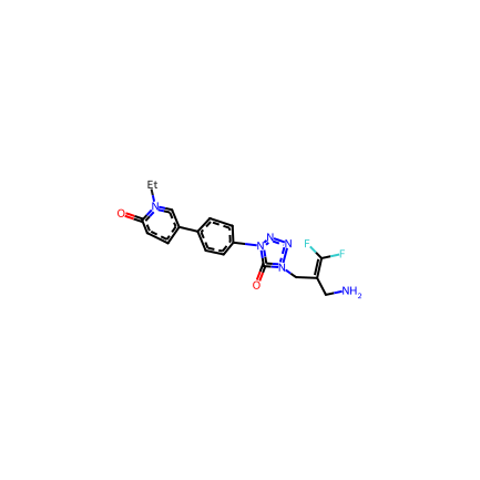 CCn1cc(-c2ccc(-n3nnn(CC(CN)=C(F)F)c3=O)cc2)ccc1=O